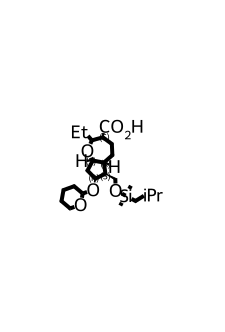 CCC1O[C@H]2C[C@@H](OC3CCCCO3)[C@H](CO[Si](C)(C)CC(C)C)[C@H]2CC[C@@H]1C(=O)O